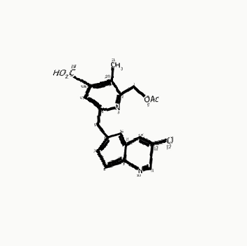 CC(=O)OCc1nc(Cc2ccc3ncc(Cl)cc3c2)cc(C(=O)O)c1C